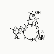 CC[C@H]1OC(=O)[C@H](C)C(O[C@H]2CC(C)(C)[C@@H](O)[C@H](C)O2)[C@H](C)[C@@H](OC2O[C@H](C)C[C@H](N(C)C)[C@H]2C)[C@](C)(O)C[C@@H](C)CN(C)[C@H](C)[C@@H](O)[C@]1(C)O